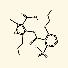 CCCOc1cccc(S(=O)(=O)Cl)c1C(=O)Nc1c(CCC)nn(C)c1C(N)=O